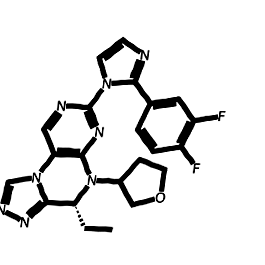 CC[C@@H]1c2nncn2-c2cnc(-n3ccnc3-c3ccc(F)c(F)c3)nc2N1C1CCOC1